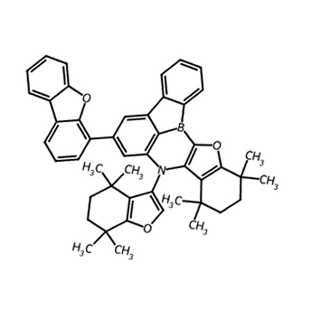 CC1(C)CCC(C)(C)c2c(N3c4cc(-c5cccc6c5oc5ccccc56)cc5c4B(c4ccccc4-5)c4oc5c(c43)C(C)(C)CCC5(C)C)coc21